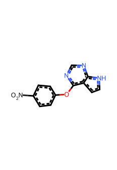 O=[N+]([O-])c1ccc(Oc2ncnc3[nH]ccc23)cc1